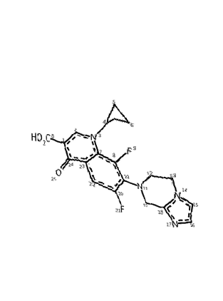 O=C(O)c1cn(C2CC2)c2c(F)c(N3CCn4ccnc4C3)c(F)cc2c1=O